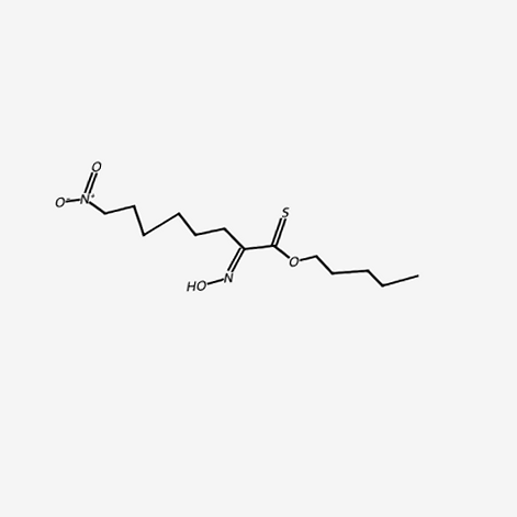 CCCCCOC(=S)C(CCCCCC[N+](=O)[O-])=NO